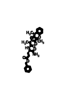 C[C@@H](NC(=O)C1(C)Oc2ccccc2N(C)C1=O)C(=O)N[C@H](CCC(=O)OCc1ccccc1)C(N)=O